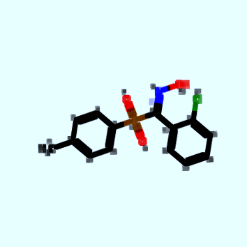 Cc1ccc(S(=O)(=O)/C(=N/O)c2ccccc2Cl)cc1